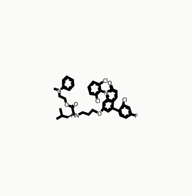 CC(C)C[C@H](NCCCOc1cc(-c2ccc(F)cc2Cl)c2ccc(=O)n(-c3c(Cl)cccc3Cl)c2c1)C(=O)OCCN(C)c1ccccc1